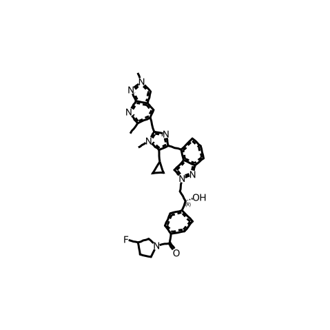 Cc1nc2nn(C)cc2cc1-c1nc(-c2cccc3nn(C[C@H](O)c4ccc(C(=O)N5CCC(F)C5)cc4)cc23)c(C2CC2)n1C